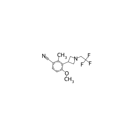 COc1ccc(C#N)c(C)c1C1CN(CC(F)(F)F)C1